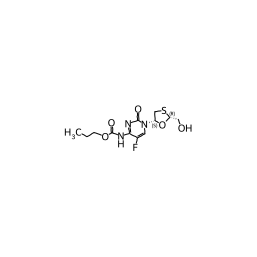 CCCOC(=O)Nc1nc(=O)n([C@@H]2CS[C@H](CO)O2)cc1F